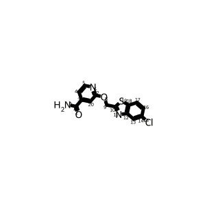 NC(=O)c1ccnc(OCc2nc3cc(Cl)ccc3s2)c1